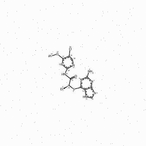 CC[C@H](Sc1nc(N)nc2nc[nH]c12)C(=O)Nc1ncc(Cl)c(OC(C)C)n1